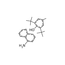 Cc1cc(C(C)(C)C)c(O)c(C(C)(C)C)c1.Nc1cccc2ccccc12